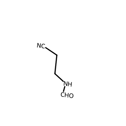 N#CCCNC=O